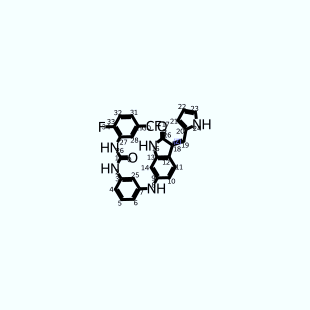 O=C(Nc1cccc(Nc2ccc3c(c2)NC(=O)/C3=C\c2ccc[nH]2)c1)Nc1cc(C(F)(F)F)ccc1F